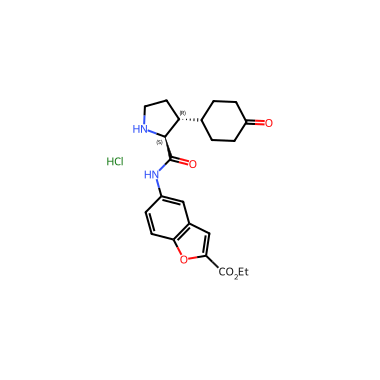 CCOC(=O)c1cc2cc(NC(=O)[C@H]3NCC[C@@H]3C3CCC(=O)CC3)ccc2o1.Cl